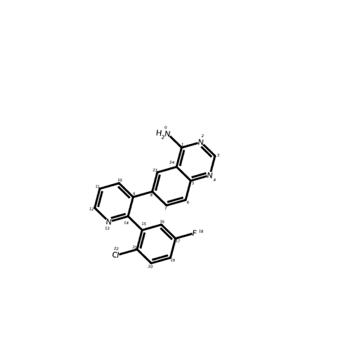 Nc1ncnc2ccc(-c3cccnc3-c3cc(F)ccc3Cl)cc12